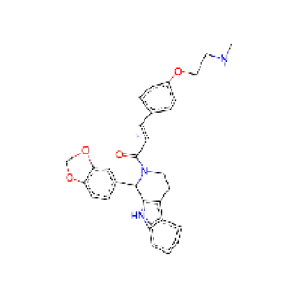 CN(C)CCOc1ccc(/C=C/C(=O)N2CCc3c([nH]c4ccccc34)C2c2ccc3c(c2)OCO3)cc1